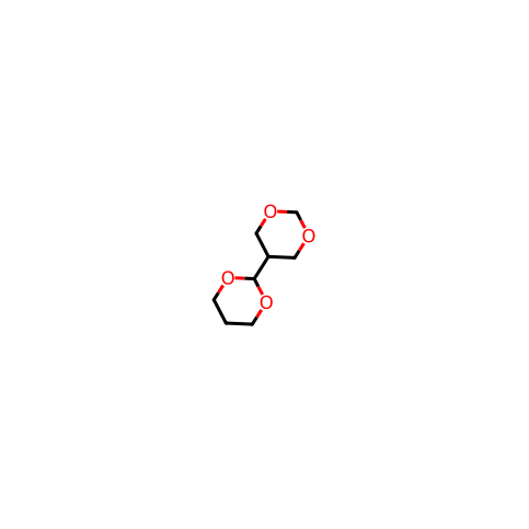 C1COC(C2COCOC2)OC1